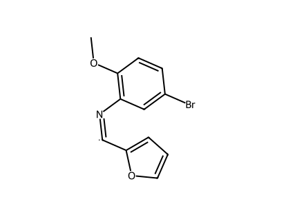 COc1ccc(Br)cc1/N=[C]\c1ccco1